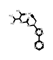 C#CC[C@H](NC(=O)NC(C(=O)O)C(C)O)c1nc(-c2cnccn2)no1